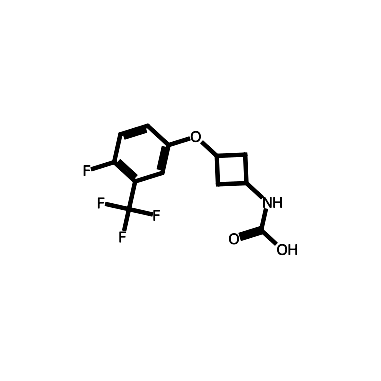 O=C(O)NC1CC(Oc2ccc(F)c(C(F)(F)F)c2)C1